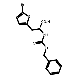 O=C(N[C@@H](Cc1ccc(Br)s1)C(=O)O)OCc1ccccc1